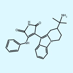 CC(C)(N)C1CCn2c(c(C3=C(Nc4ccccc4)C(=O)NC3=O)c3ccccc32)C1